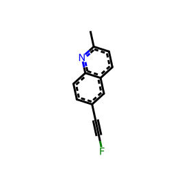 Cc1ccc2cc(C#CF)ccc2n1